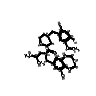 COc1cc(CN2CCO[C@@H](C(=O)N(Cc3cc(Cl)c4c(c3)OCCCO4)CC(C)C)C2)c(F)cc1F